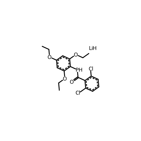 CCOc1cc(OCC)c(PC(=O)c2c(Cl)cccc2Cl)c(OCC)c1.[LiH]